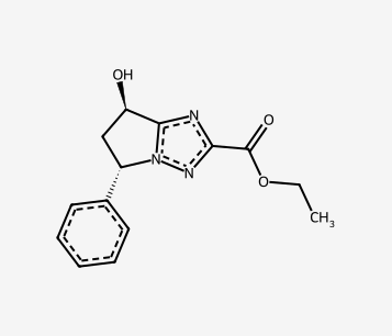 CCOC(=O)c1nc2n(n1)[C@H](c1ccccc1)C[C@H]2O